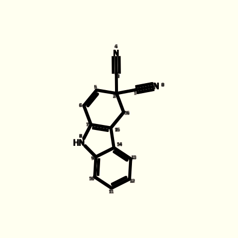 N#CC1(C#N)C=Cc2[nH]c3ccccc3c2C1